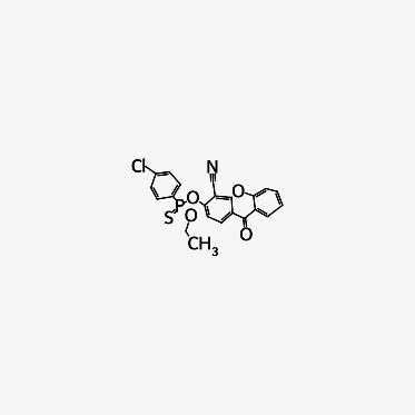 CCOP(=S)(Oc1ccc2c(=O)c3ccccc3oc2c1C#N)c1ccc(Cl)cc1